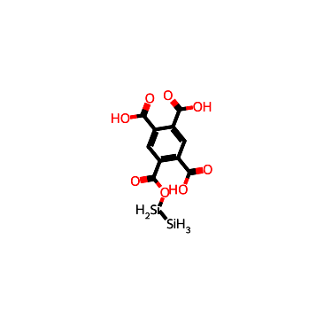 O=C(O)c1cc(C(=O)O)c(C(=O)O[SiH2][SiH3])cc1C(=O)O